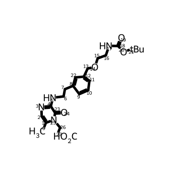 Cc1cnc(NCCc2cccc(COCCNC(=O)OC(C)(C)C)c2)c(=O)n1CC(=O)O